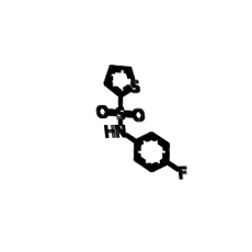 O=S(=O)(Nc1ccc(F)cc1)c1cccs1